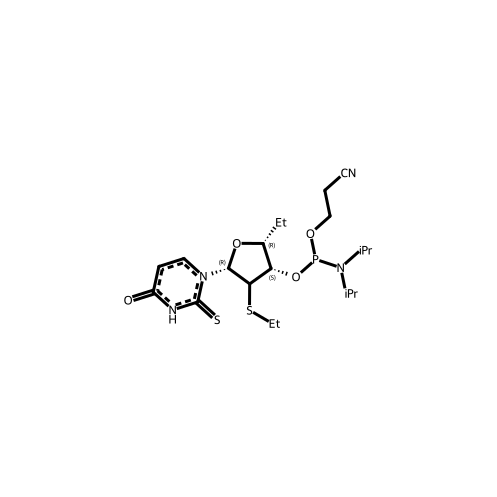 CCSC1[C@@H](OP(OCCC#N)N(C(C)C)C(C)C)[C@@H](CC)O[C@H]1n1ccc(=O)[nH]c1=S